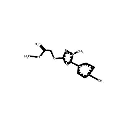 C=C(COc1nc(-c2ccc(C)cc2)n(C)n1)OC